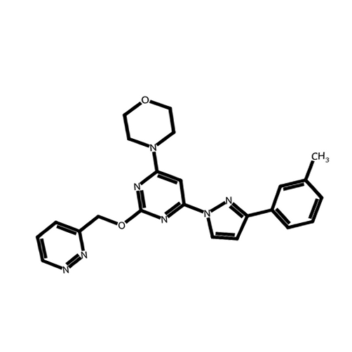 Cc1cccc(-c2ccn(-c3cc(N4CCOCC4)nc(OCc4cccnn4)n3)n2)c1